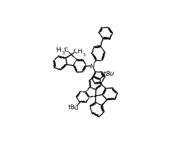 CC(C)(C)c1ccc2c(c1)C1(c3cc(C(C)(C)C)ccc3-2)c2ccccc2-c2cccc(-c3ccc(N(c4ccc(-c5ccccc5)cc4)c4ccc5c(c4)C(C)(C)c4ccccc4-5)cc3)c21